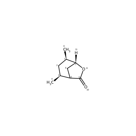 C[C@@H]1C[C@H](C)C2C[C@H]1OC2=O